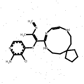 C=N\C(C)=C(Sc1ccnc(N)c1Cl)/C1=N/C=C\NCCC2(CCCC2)CCN1